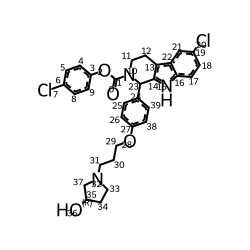 O=C(Oc1ccc(Cl)cc1)N1CCc2c([nH]c3ccc(Cl)cc23)C1c1ccc(OCCCN2CC[C@@H](O)C2)cc1